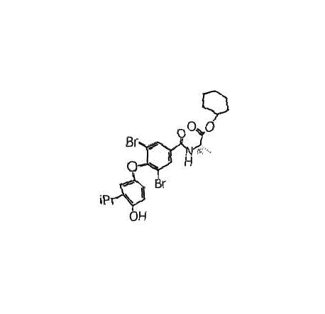 CC(C)c1cc(Oc2c(Br)cc(C(=O)N[C@@H](C)C(=O)OC3CCCCC3)cc2Br)ccc1O